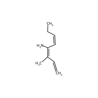 C=C/C(C)=C(N)\C=C/CC